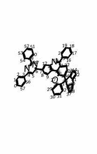 c1ccc(-c2cc(-c3ccc4c(c3)nc(-c3ccccc3)c3ccc5c(c34)Oc3ccccc3C53c4ccccc4-c4ccccc43)nc(-c3ccccc3)n2)cc1